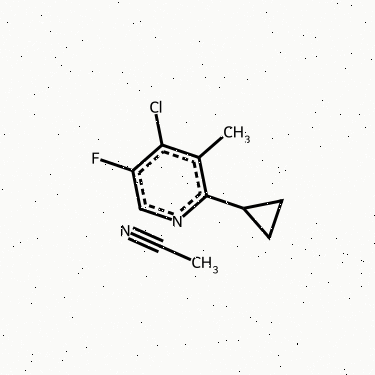 CC#N.Cc1c(C2CC2)ncc(F)c1Cl